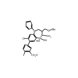 CN1C(COC(C)(C)C)CN(c2ccccc2)c2cc(Cl)c(-c3ccc(F)c(C(=O)O)c3)cc2S1(O)O